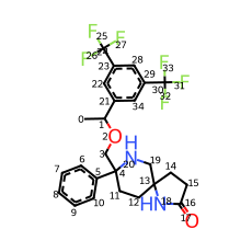 CC(OCC1(c2ccccc2)CCC2(CCC(=O)N2)CN1)c1cc(C(F)(F)F)cc(C(F)(F)F)c1